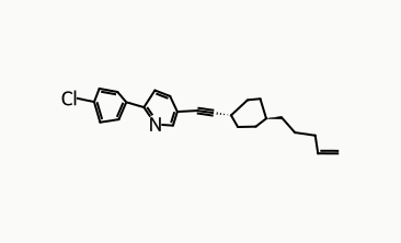 C=CCCC[C@H]1CC[C@H](C#Cc2ccc(-c3ccc(Cl)cc3)nc2)CC1